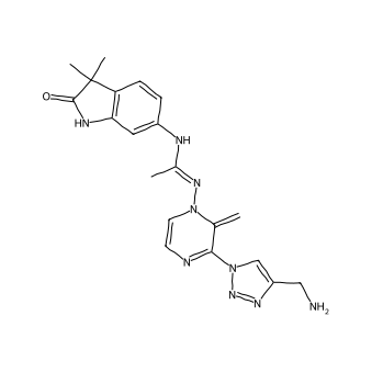 C=C1C(n2cc(CN)nn2)=NC=CN1/N=C(\C)Nc1ccc2c(c1)NC(=O)C2(C)C